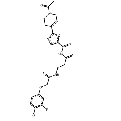 C=C(CCNC(=O)COc1ccc(Cl)c(F)c1)NC(=O)c1cnc(C2=CCN(C(C)=O)CC2)o1